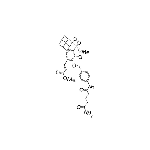 COC(=O)/C=C/c1ccc(C2(OC)OOC23C2CC4CC5CC3C452)c(Cl)c1OCc1ccc(NC(=O)CCCC(N)=O)cc1